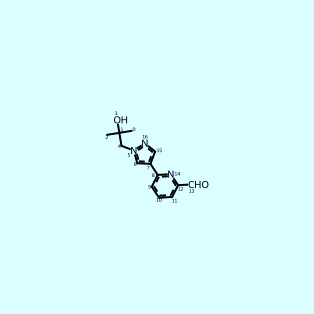 CC(C)(O)Cn1cc(-c2cccc(C=O)n2)cn1